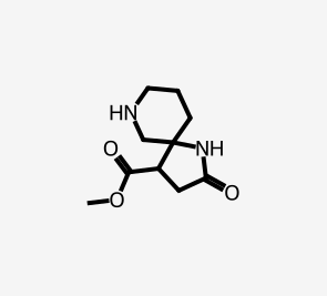 COC(=O)C1CC(=O)NC12CCCNC2